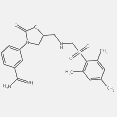 Cc1cc(C)c(S(=O)(=O)CNCC2CN(c3cccc(C(=N)N)c3)C(=O)O2)c(C)c1